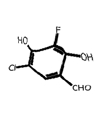 O=Cc1cc(Cl)c(O)c(F)c1O